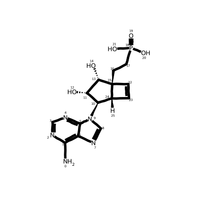 Nc1ncnc2c1ncn2[C@H]1[C@H](O)[C@H](O)[C@]2(CCP(=O)(O)O)C=C[C@H]12